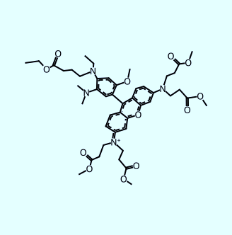 CCOC(=O)CCCN(CC)c1cc(OC)c(-c2c3ccc(=[N+](CCC(=O)OC)CCC(=O)OC)cc-3oc3cc(N(CCC(=O)OC)CCC(=O)OC)ccc23)cc1N(C)C